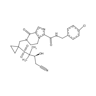 CC(C)([C@@H](O)CC#N)S(=O)(=O)C1(CN2CCn3c(cnc3C(=O)NCc3ccc(Cl)cc3)C2=O)CC1